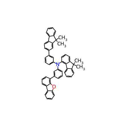 CC1(C)c2ccccc2-c2ccc(-c3cccc(N(c4cccc(-c5cccc6c5oc5ccccc56)c4)c4cccc5c4-c4ccccc4C5(C)C)c3)cc21